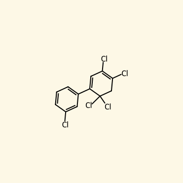 ClC1=C(Cl)CC(Cl)(Cl)C(c2cccc(Cl)c2)=C1